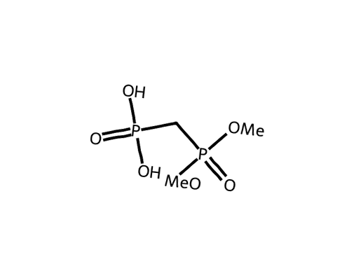 COP(=O)(CP(=O)(O)O)OC